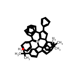 CC(C)(C)c1ccc2c(c1)[CH]([Zr]([C]1=C(c3ccccc3)C(c3ccccc3)=CC1c1ccccc1)=[C](c1ccccc1)c1ccccc1)c1cc(C(C)(C)C)ccc1-2